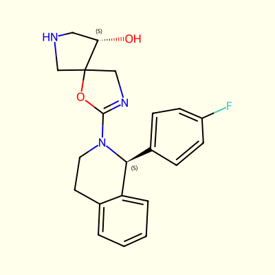 O[C@H]1CNCC12CN=C(N1CCc3ccccc3[C@@H]1c1ccc(F)cc1)O2